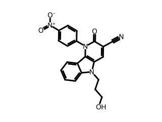 N#Cc1cc2c(c3ccccc3n2CCCO)n(-c2ccc([N+](=O)[O-])cc2)c1=O